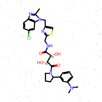 Cc1nc2ccc(Cl)cc2n1Cc1csc(CNC(=O)[C@H](O)[C@@H](O)C(=O)N2CCCC2c2cccc(N(C)C)c2)n1